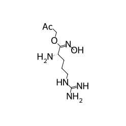 CC(=O)COC(=NO)[C@@H](N)CCCNC(=N)N